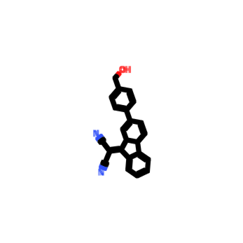 N#CC(C#N)=C1c2ccccc2C2C=CC(c3ccc(CO)cc3)=CC12